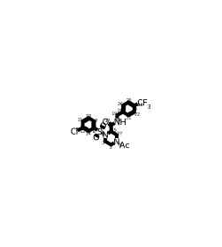 CC(=O)N1CCN(S(=O)(=O)c2cccc(Cl)c2)C(C(=O)NCc2ccc(C(F)(F)F)cc2)C1